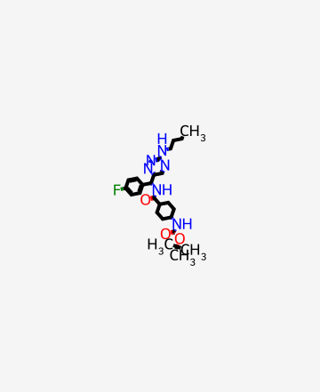 CCCCNc1ncc(C(NC(=O)C2CCC(NC(=O)OC(C)(C)C)CC2)c2ccc(F)cc2)nn1